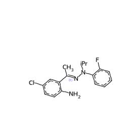 C/C(=N\N(c1ccccc1F)C(C)C)c1cc(Cl)ccc1N